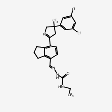 O=C(NCC(F)(F)F)N/N=C/c1ccc(C2=NCC(c3cc(Cl)cc(Cl)c3)(C(F)(F)F)C2)c2c1CCC2